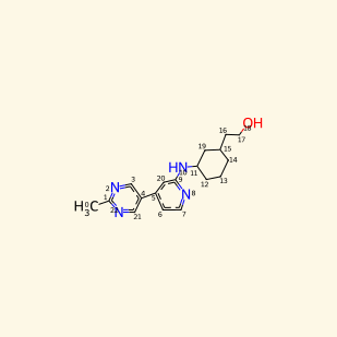 Cc1ncc(-c2ccnc(NC3CCCC(CCO)C3)c2)cn1